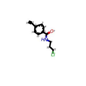 C#Cc1ccc(C(=O)NCCCCl)cc1